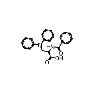 O=C(NC(CN(c1ccccc1)c1ccccc1)C(=O)O)c1ccccc1